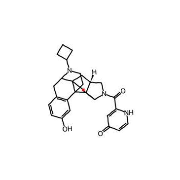 O=C(c1cc(=O)cc[nH]1)N1C[C@H]2CC34CCC1C2C31CCN(C2CCC2)C4Cc2ccc(O)cc21